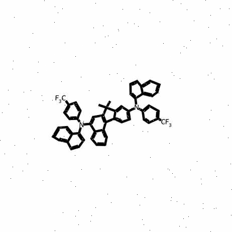 CC1(C)c2cc(N(c3ccc(C(F)(F)F)cc3)c3cccc4ccccc34)ccc2-c2c1cc(N(c1ccc(C(F)(F)F)cc1)c1cccc3ccccc13)c1ccccc21